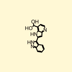 OC(O)c1ccnc2cc(-c3[nH]nc4ccccc34)[nH]c12